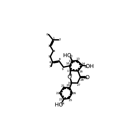 CC(C)=CCC/C(C)=C/Cc1c(O)cc(O)c2c1OC(c1ccc(O)cc1)CC2=O